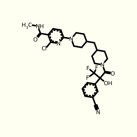 CNC(=O)c1ccc(N2CCC(CC3CCN(C(=O)C(O)(c4cccc(C#N)c4)C(F)(F)F)CC3)CC2)nc1Cl